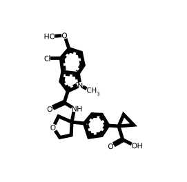 Cn1c(C(=O)NC2(c3ccc(C4(C(=O)O)CC4)cc3)CCOC2)cc2c(Cl)c(OO)ccc21